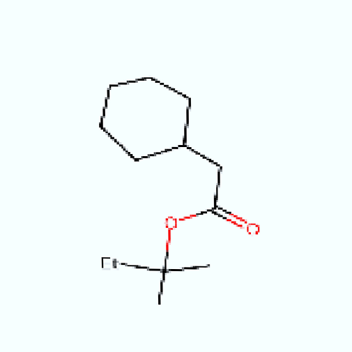 CCC(C)(C)OC(=O)CC1CCCCC1